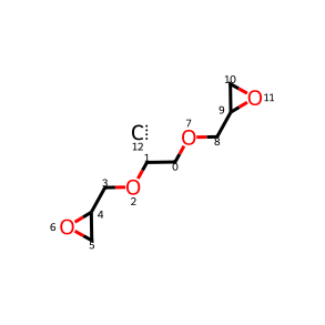 C(COCC1CO1)OCC1CO1.[C]